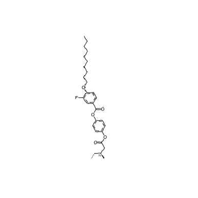 CCCCCCCCCCOc1ccc(C(=O)Oc2ccc(OC(=O)C[C@@H](C)CC)cc2)cc1F